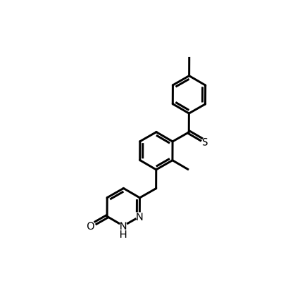 Cc1ccc(C(=S)c2cccc(Cc3ccc(=O)[nH]n3)c2C)cc1